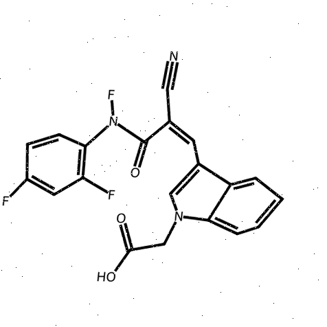 N#CC(=Cc1cn(CC(=O)O)c2ccccc12)C(=O)N(F)c1ccc(F)cc1F